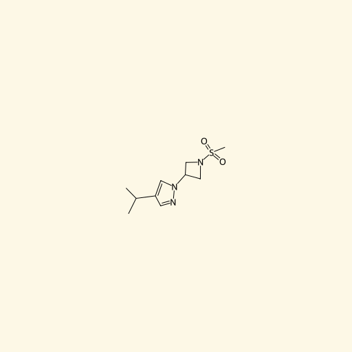 CC(C)c1cnn(C2CN(S(C)(=O)=O)C2)c1